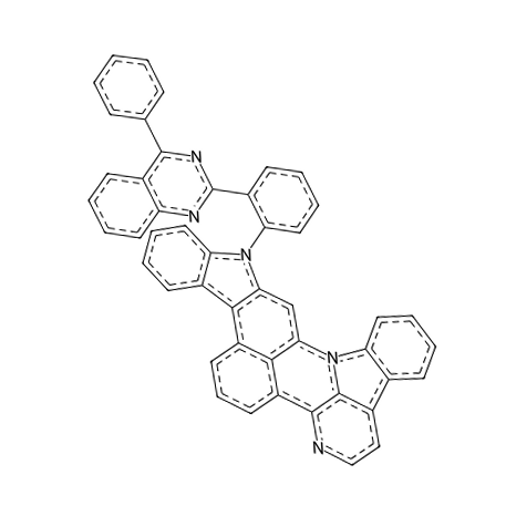 c1ccc(-c2nc(-c3ccccc3-n3c4ccccc4c4c5cccc6c7nccc8c9ccccc9n(c(cc43)c65)c87)nc3ccccc23)cc1